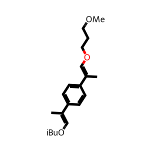 COCCCOC=C(C)c1ccc(C(C)=COCC(C)C)cc1